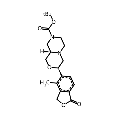 Cc1c([C@@H]2CN3CCN(C(=O)OC(C)(C)C)C[C@H]3CO2)ccc2c1COC2=O